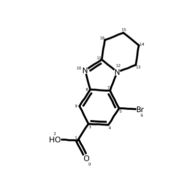 O=C(O)c1cc(Br)c2c(c1)nc1n2CCCC1